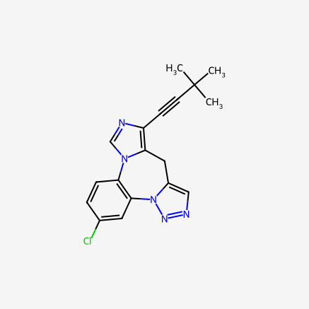 CC(C)(C)C#Cc1ncn2c1Cc1cnnn1-c1cc(Cl)ccc1-2